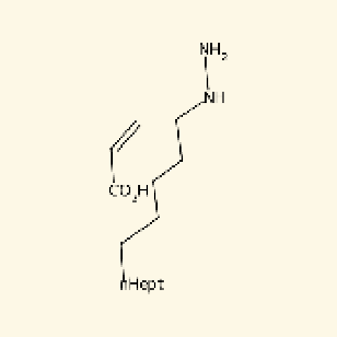 C=CC(=O)O.CCCCCCCCCCCCNN